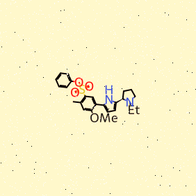 CCN1CCC[C@@H]1c1ccc(-c2cc(S(=O)(=O)Oc3ccccc3)c(C)cc2OC)[nH]1